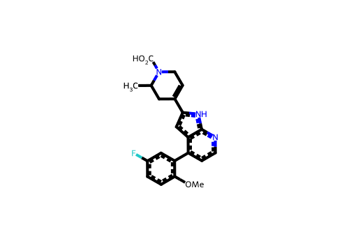 COc1ccc(F)cc1-c1ccnc2[nH]c(C3=CCN(C(=O)O)C(C)C3)cc12